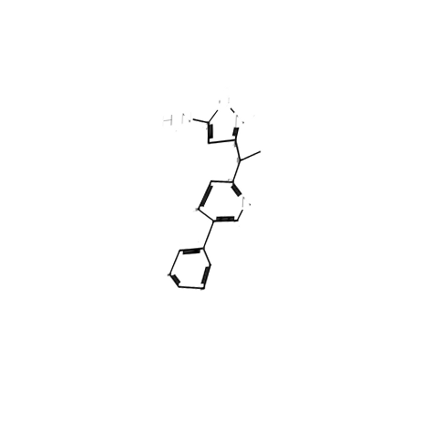 CC(c1ccc(-c2ccccc2)cn1)c1cc(N)on1